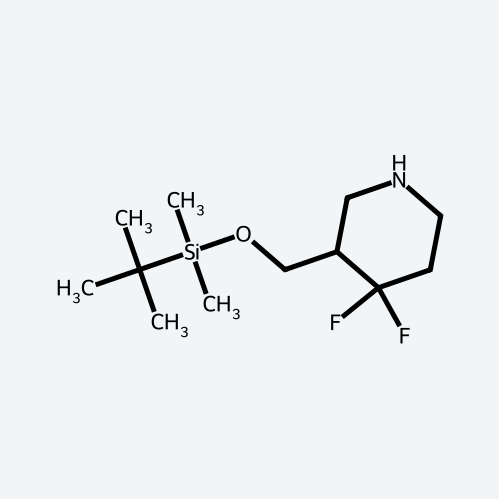 CC(C)(C)[Si](C)(C)OCC1CNCCC1(F)F